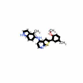 COc1ccc(C)cc1-c1cc2c(Nc3ccc4[nH]ccc4c3C)ccnc2s1